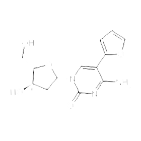 Nc1nc(=O)n([C@@H]2C[C@@H](O)[C@H](CO)O2)cc1-c1ccco1